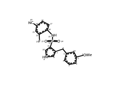 COc1cccc(Cc2c[nH]cc2S(=O)(=O)Nc2ccc(C#N)cc2F)c1